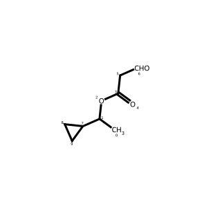 CC(OC(=O)CC=O)C1CC1